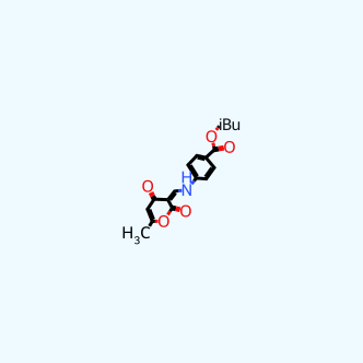 CCC(C)OC(=O)c1ccc(NC=C2C(=O)C=C(C)OC2=O)cc1